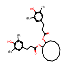 CC(C)(C)c1cc(CCC(=O)OC2CCCCCCCCCCC2OC(=O)CCc2cc(C(C)(C)C)c(O)c(C(C)(C)C)c2)cc(C(C)(C)C)c1O